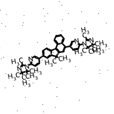 CC1=NC(C)(C)C(C)(C)N1c1ccc(-c2ccc3c(c2)C(C)(C)c2cc(-c4ccc(N5C(C)=NC(C)(C)C5(C)C)nc4)c4ccccc4c2-3)cn1